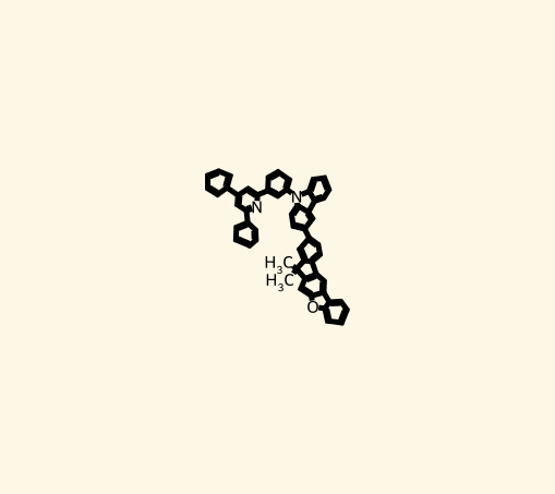 CC1(C)c2cc(-c3ccc4c(c3)c3ccccc3n4-c3cccc(-c4cc(-c5ccccc5)cc(-c5ccccc5)n4)c3)ccc2-c2cc3c(cc21)oc1ccccc13